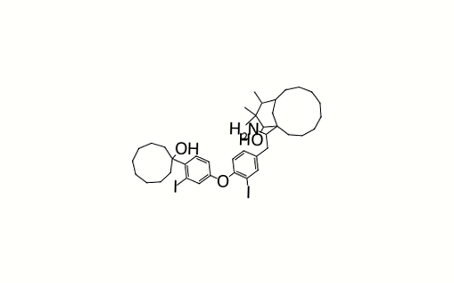 CC1C2CCCCCCCCC(C(N)Cc3ccc(Oc4ccc(C5(O)CCCCCCCC5)c(I)c4)c(I)c3)(C2)C(O)C1(C)C